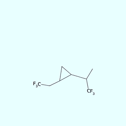 CC(C1CC1CC(F)(F)F)C(F)(F)F